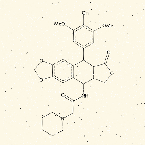 COc1cc(C2c3cc4c(cc3C(NC(=O)CN3CCCCC3)C3COC(=O)C23)OCO4)cc(OC)c1O